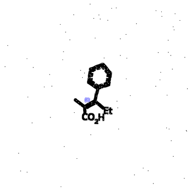 CC/C(=C(/C)C(=O)O)c1ccccc1